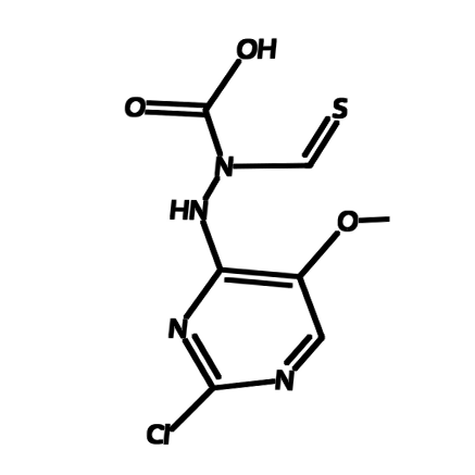 COc1cnc(Cl)nc1NN(C=S)C(=O)O